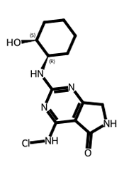 O=C1NCc2nc(N[C@@H]3CCCC[C@@H]3O)nc(NCl)c21